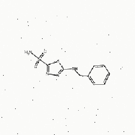 NS(=O)(=O)c1nnc(NCc2ccccc2)s1